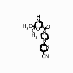 CC1(C)CNC[C@@H](C(=O)N2CCN(c3ccc(C#N)cn3)CC2)O1